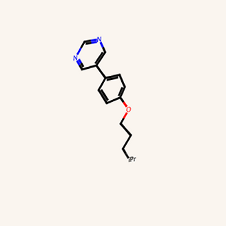 CC(C)CCCOc1ccc(-c2cncnc2)cc1